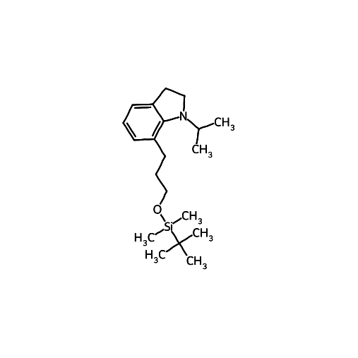 CC(C)N1CCc2cccc(CCCO[Si](C)(C)C(C)(C)C)c21